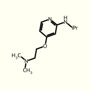 CC(C)Nc1cc(OCCN(C)C)ccn1